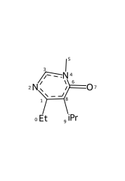 CCc1ncn(C)c(=O)c1C(C)C